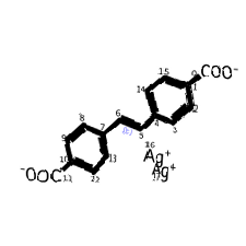 O=C([O-])c1ccc(/C=C/c2ccc(C(=O)[O-])cc2)cc1.[Ag+].[Ag+]